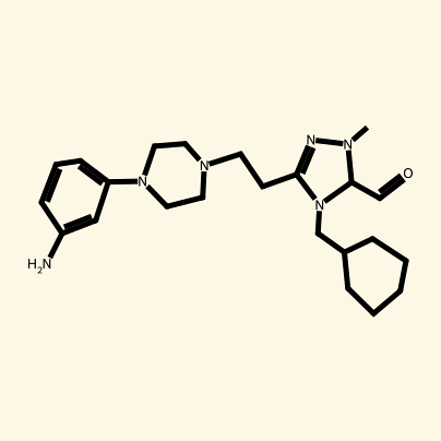 CN1N=C(CCN2CCN(c3cccc(N)c3)CC2)N(CC2CCCCC2)C1C=O